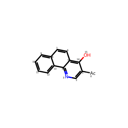 CC(=O)c1cnc2c(ccc3ccccc32)c1O